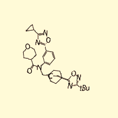 CC(C)(C)c1noc(C23CCC(CN(C(=O)C4CCOCC4)c4cccc(-c5nc(C6CC6)no5)c4)(CC2)CC3)n1